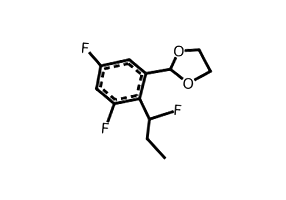 CCC(F)c1c(F)cc(F)cc1C1OCCO1